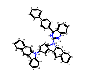 c1ccc(-c2ccc(-c3nc(-n4c5ccc(-n6c7ccccc7c7cc8ccccc8cc76)cc5c5cc6ccccc6cc54)nc4ccccc34)cc2)cc1